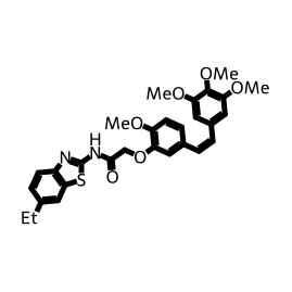 CCc1ccc2nc(NC(=O)COc3cc(/C=C\c4cc(OC)c(OC)c(OC)c4)ccc3OC)sc2c1